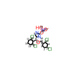 Clc1ccc([C@@H](Cn2ccnc2)OCc2c(Cl)cccc2Cl)c(Cl)c1.O=[N+]([O-])O